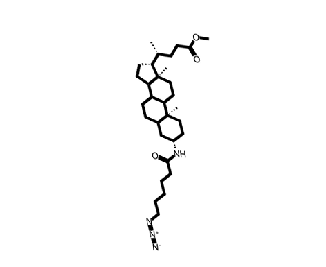 COC(=O)CC[C@@H](C)[C@H]1CCC2C3CCC4C[C@@H](NC(=O)CCCCCN=[N+]=[N-])CC[C@]4(C)C3CC[C@@]21C